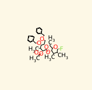 CCC1O[C@@H](F)C(C)[C@@H](C)[C@@H]1O[C@@H]1OC(COCc2ccccc2)[C@H](OCc2ccccc2)[C@H](C)C1OC(C)=O